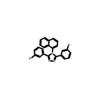 Brc1cccc(-c2nnc(-c3cccc(Br)c3)n2-c2cccc3ccccc23)c1